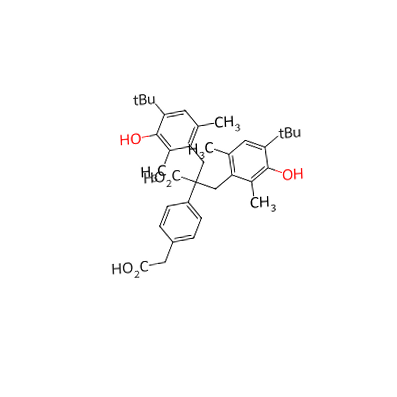 Cc1cc(C(C)(C)C)c(O)c(C)c1CC(Cc1c(C)cc(C(C)(C)C)c(O)c1C)(C(=O)O)c1ccc(CC(=O)O)cc1